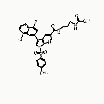 Cc1ccc(S(=O)(=O)n2cc(-c3cc(F)c4nccc(Cl)c4c3)c3cc(C(=O)NCCCNC(=O)O)cnc32)cc1